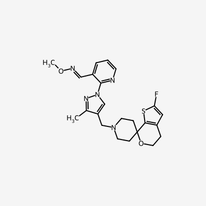 CON=Cc1cccnc1-n1cc(CN2CCC3(CC2)OCCc2cc(F)sc23)c(C)n1